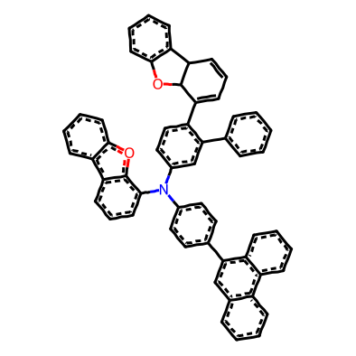 C1=CC2c3ccccc3OC2C(c2ccc(N(c3ccc(-c4cc5ccccc5c5ccccc45)cc3)c3cccc4c3oc3ccccc34)cc2-c2ccccc2)=C1